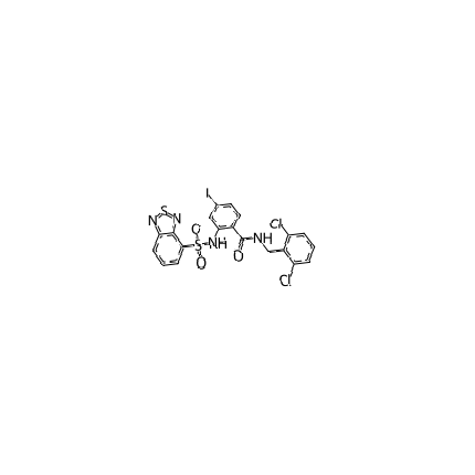 O=C(NCc1c(Cl)cccc1Cl)c1ccc(I)cc1NS(=O)(=O)c1cccc2nsnc12